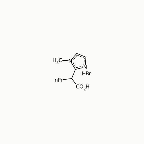 Br.CCCC(C(=O)O)c1nccn1C